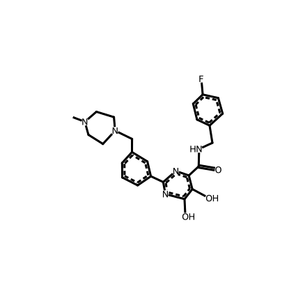 CN1CCN(Cc2cccc(-c3nc(O)c(O)c(C(=O)NCc4ccc(F)cc4)n3)c2)CC1